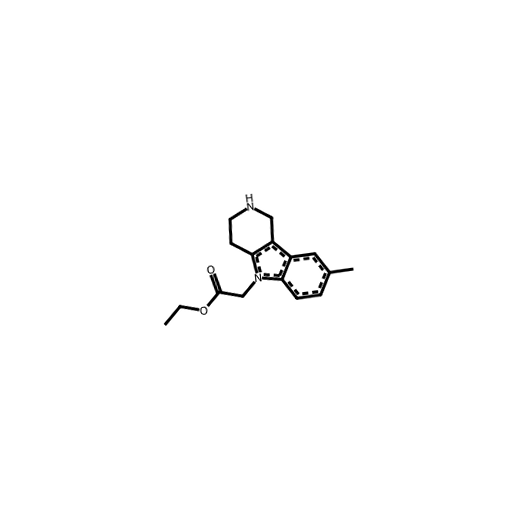 CCOC(=O)Cn1c2c(c3cc(C)ccc31)CNCC2